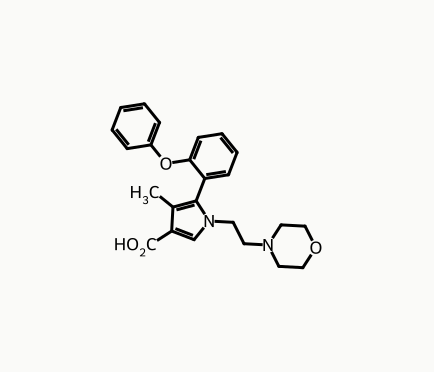 Cc1c(C(=O)O)cn(CCN2CCOCC2)c1-c1ccccc1Oc1ccccc1